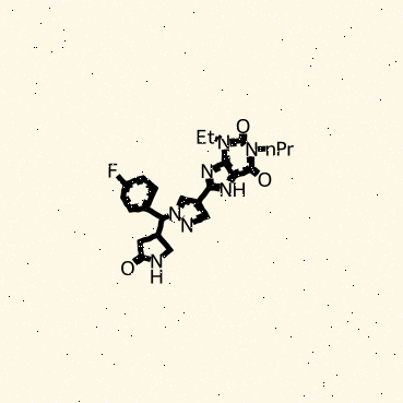 CCCn1c(=O)c2[nH]c(-c3cnn(C(c4ccc(F)cc4)C4CNC(=O)C4)c3)nc2n(CC)c1=O